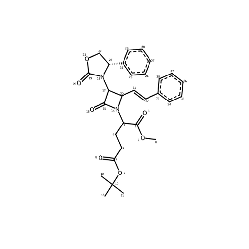 COC(=O)C(CCC(=O)OC(C)(C)C)N1C(=O)C(N2C(=O)OC[C@@H]2c2ccccc2)C1C=Cc1ccccc1